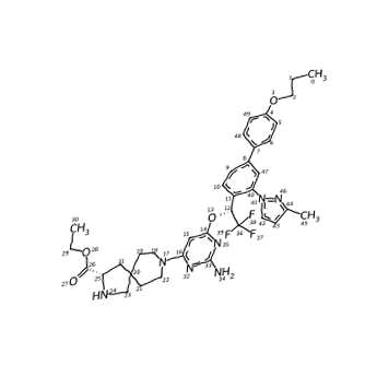 CCCOc1ccc(-c2ccc([C@@H](Oc3cc(N4CCC5(CC4)CN[C@H](C(=O)OCC)C5)nc(N)n3)C(F)(F)F)c(-n3ccc(C)n3)c2)cc1